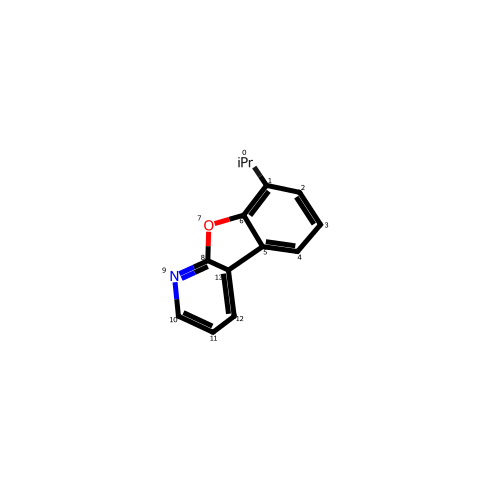 CC(C)c1cccc2c1oc1ncccc12